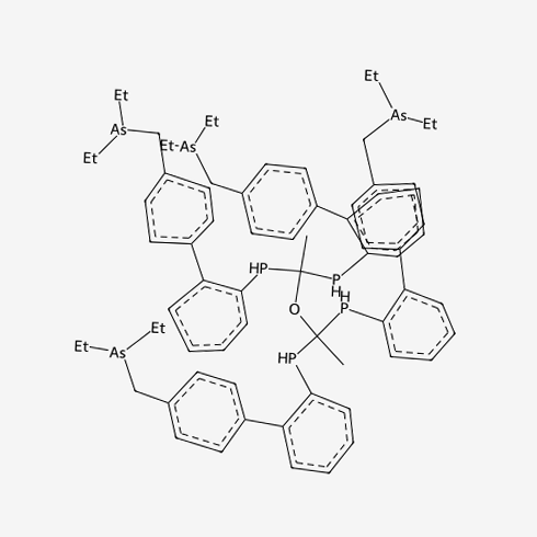 CC[As](CC)Cc1ccc(-c2ccccc2PC(C)(OC(C)(Pc2ccccc2-c2ccc(C[As](CC)CC)cc2)Pc2ccccc2-c2ccc(C[As](CC)CC)cc2)Pc2ccccc2-c2ccc(C[As](CC)CC)cc2)cc1